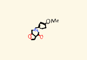 COc1ccc(CN2CC(=O)C3C=COC3C2)cc1